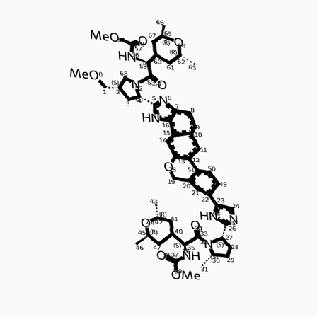 COC[C@H]1C[C@@H](c2nc3ccc4cc5c(cc4c3[nH]2)OCc2cc(-c3cnc([C@@H]4CC[C@H](C)N4C(=O)[C@@H](NC(=O)OC)C4C[C@@H](C)O[C@H](C)C4)[nH]3)ccc2-5)N(C(=O)[C@@H](NC(=O)OC)C2C[C@@H](C)O[C@H](C)C2)C1